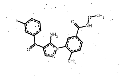 CONC(=O)c1ccc(C)c(-n2ncc(C(=O)c3cccc(I)c3)c2N)c1